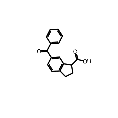 O=C(c1ccccc1)c1ccc2c(c1)C(C(=O)O)CC2